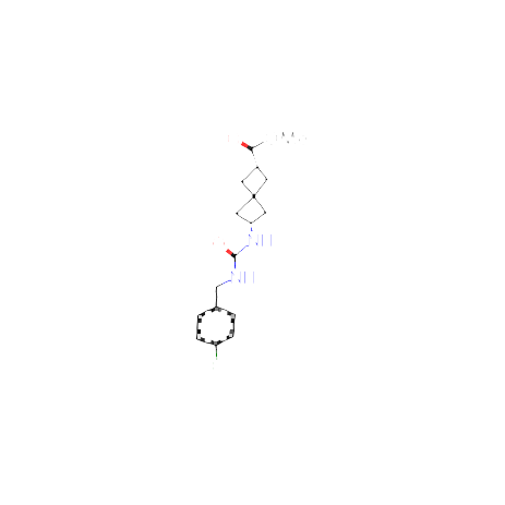 COC(=O)[C@H]1CC2(C[C@H](NC(=O)NCc3ccc(Cl)cc3)C2)C1